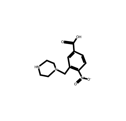 O=C(O)c1ccc([N+](=O)[O-])c(CN2CCNCC2)c1